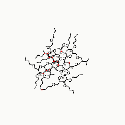 CCCCOCC1O[C@H](OCC2O[C@@H](O[C@@H](C)C(COCCCC)O[C@@H](OCCCC)[C@@H](C)COCCCC)[C@H](OCCCC)C(O[C@@H]3OC(COCCCC)[C@H](OCCCC)C(OCCCC)[C@@H]3OC(C)=O)[C@@H]2OCCCC)[C@H](O[C@H](OC(COCCCC)[C@H](C)O[C@@H]2OC(COCCCC)[C@H](OCCCC)C(OCCCC)[C@@H]2OC(C)=O)[C@@H](C)COCCCC)C(OCCCC)[C@@H]1OCCCC